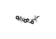 CCCNC(=S)Nc1cccc(Cn2ccc3cc(C(=O)NS(=O)(=O)c4ccccc4C)ccc32)c1